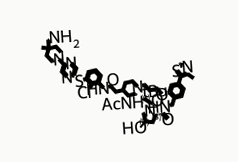 CC(=O)N[C@H](C(=O)N1C[C@H](O)C[C@H]1C(=O)NCc1ccc(-c2scnc2C)cc1OCCCN1CCC(CC(=O)Nc2cccc(Sc3cnc(N4CCC(C)(CN)CC4)cn3)c2Cl)CC1)C(C)(C)C